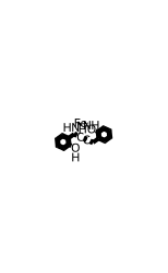 Oc1ccccc1C=C=C=Cc1ccccc1O.[NH]=[Fe]=[NH]